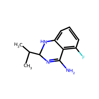 CC(C)C1N=C(N)c2c(F)cccc2N1